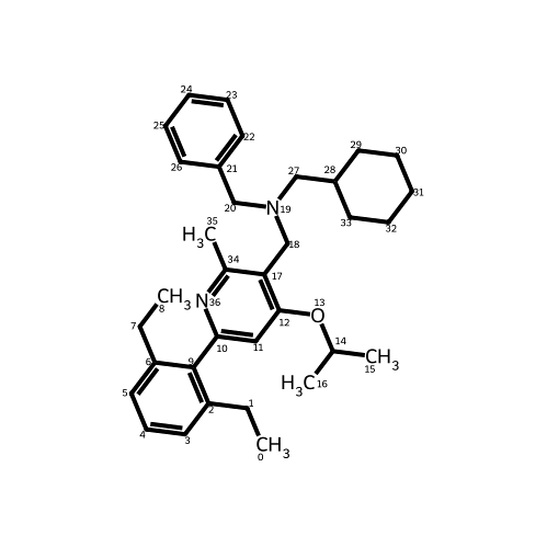 CCc1cccc(CC)c1-c1cc(OC(C)C)c(CN(Cc2ccccc2)CC2CCCCC2)c(C)n1